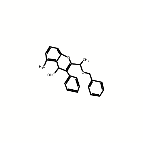 Cc1cccc2c1C(C=O)C(c1ccccc1)=C(C(C)OCc1ccccc1)O2